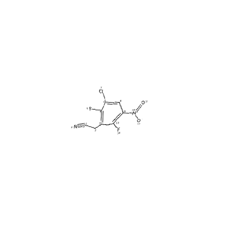 N#CCc1c(F)c(Cl)cc([N+](=O)[O-])c1F